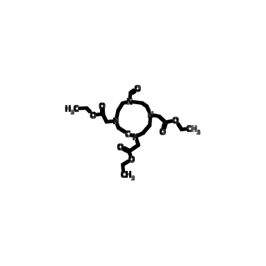 CCOC(=O)CN1CCN(C=O)CCN(CC(=O)OCC)CCN(CC(=O)OCC)CC1